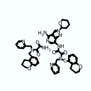 NC(=O)C(=O)N(Cc1ccccn1)Cc1cccc2c1CCCO2.Nc1ncc(NC(=O)C(=O)N(Cc2ccccn2)Cc2cccc3c2CCCO3)c2nn(C3CCCCO3)cc12